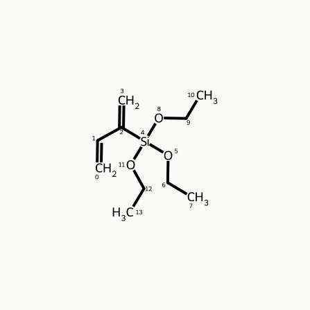 C=CC(=C)[Si](OCC)(OCC)OCC